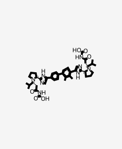 Cc1c(-c2ccc(-c3cnc([C@@H]4CCCN4[C@H](CC(=O)NC(=O)O)C(C)C)[nH]3)cc2)ccc(-c2cnc([C@@H]3CCCN3[C@H](CC(=O)NC(=O)O)C(C)C)[nH]2)c1C